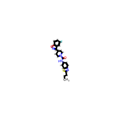 CCCc1nc2ccc(NC(=O)N3CCC(c4noc5ccc(F)cc45)CC3)cc2s1